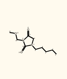 CCCCCN1CC(=O)N(COC)C1=O